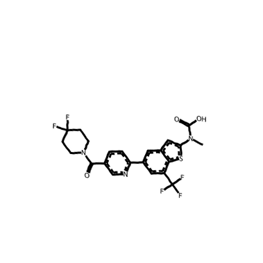 CN(C(=O)O)c1cc2cc(-c3ccc(C(=O)N4CCC(F)(F)CC4)cn3)cc(C(F)(F)F)c2s1